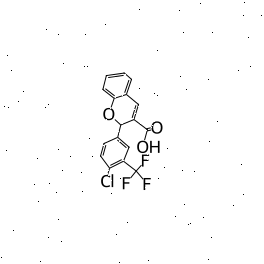 O=C(O)C1=Cc2ccccc2OC1c1ccc(Cl)c(C(F)(F)F)c1